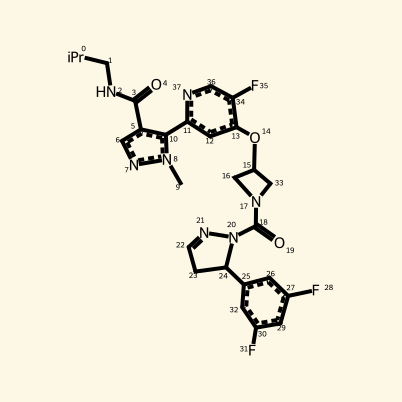 CC(C)CNC(=O)c1cnn(C)c1-c1cc(OC2CN(C(=O)N3N=CCC3c3cc(F)cc(F)c3)C2)c(F)cn1